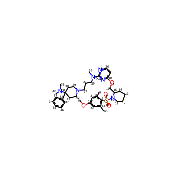 COc1cc(C)c(S(=O)(=O)N2CCCCC2COc2ccnc(N(C)CCCN3CCC(c4ccccc4)(N(C)C)CC3)n2)c(C)c1